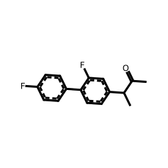 CC(=O)C(C)c1ccc(-c2ccc(F)cc2)c(F)c1